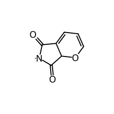 O=C1[N]C(=O)C2OC=CC=C12